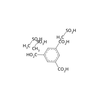 CS(=O)(=O)O.CS(=O)(=O)O.CS(=O)(=O)O.O=C(O)c1cc(C(=O)O)cc(C(=O)O)c1